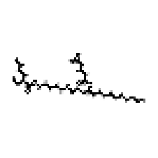 CCCCCCCCCCC(CCCCCCCCCOC(=O)C(CC)CCCC)OC(=O)CCCN(C)C